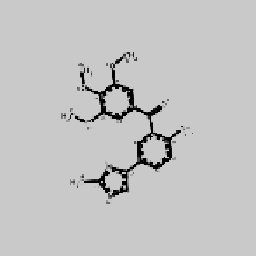 COc1cc(C(=O)c2cc(-c3csc(C)n3)ccc2N)cc(OC)c1OC